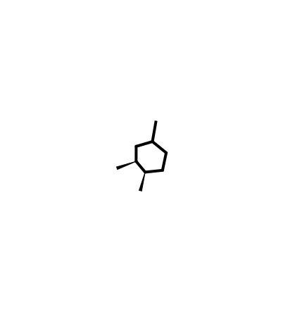 CC1CC[C@@H](C)[C@@H](C)C1